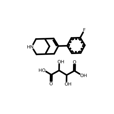 Fc1cccc(C2=CC3CNCC(C2)C3)c1.O=C(O)C(O)C(O)C(=O)O